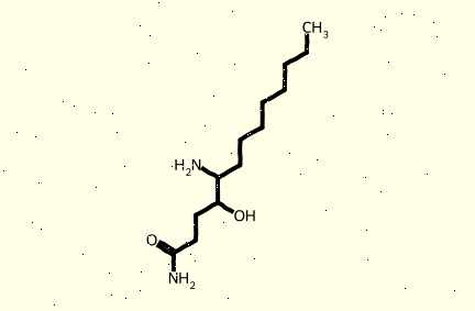 CCCCCCCCC(N)C(O)CCC(N)=O